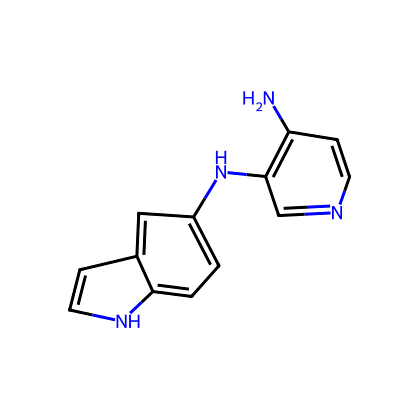 Nc1ccncc1Nc1ccc2[nH]ccc2c1